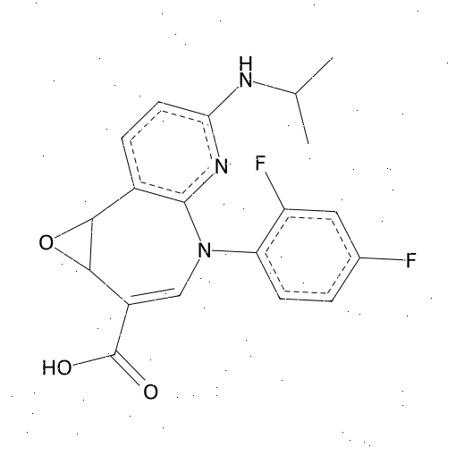 CC(C)Nc1ccc2c(n1)N(c1ccc(F)cc1F)C=C(C(=O)O)C1OC21